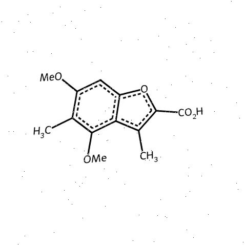 COc1cc2oc(C(=O)O)c(C)c2c(OC)c1C